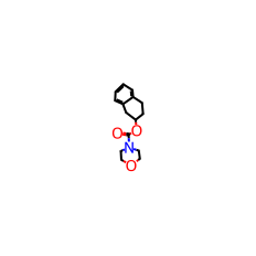 O=C(OC1CCc2ccccc2C1)N1CCOCC1